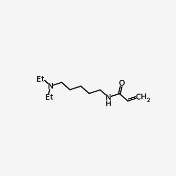 C=CC(=O)NCCCCCN(CC)CC